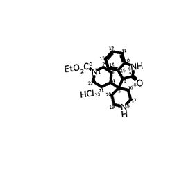 CCOC(=O)N1CCC(C2(C3C(=O)Nc4ccccc43)CCNCC2)CC1.Cl